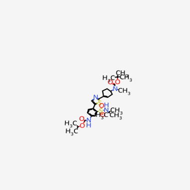 CC(C)OC(=O)Nc1ccc(-c2cnc(C3=CCC(N(C)C(=O)OC(C)(C)C)CC3)s2)c(S(=O)(=O)NC(C)(C)C)c1